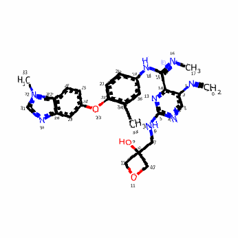 C=Nc1cnc(NCC2(O)COC2)nc1/C(=N\C)Nc1ccc(Oc2ccc3c(c2)ncn3C)c(C)c1